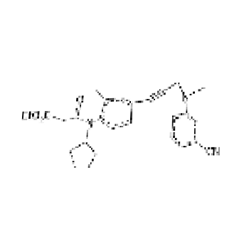 CCOC(=O)CC(=O)N(c1ccc(C#CCN(C)c2cccc(C#N)c2)cc1C)C1CCCC1